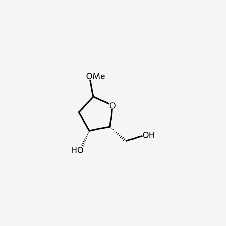 COC1C[C@@H](O)[C@@H](CO)O1